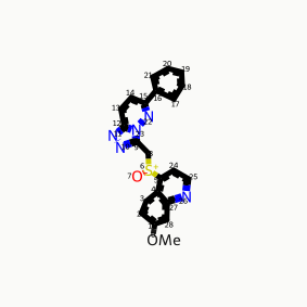 COc1ccc2c([S+]([O-])Cc3nnc4ccc(-c5ccccc5)nn34)ccnc2c1